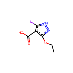 CCOc1n[nH]c(I)c1C(=O)O